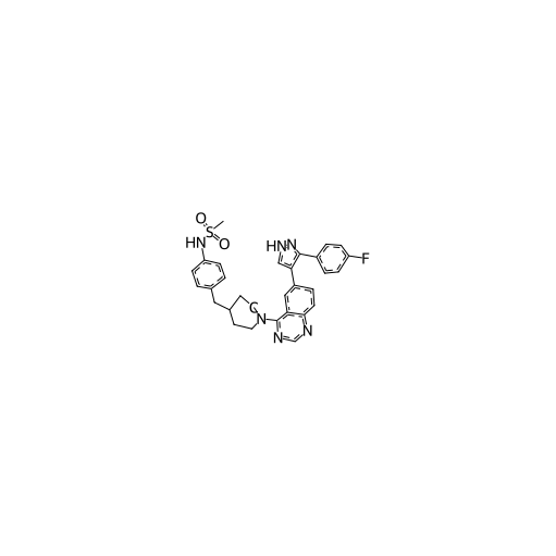 CS(=O)(=O)Nc1ccc(CC2CCN(c3ncnc4ccc(-c5c[nH]nc5-c5ccc(F)cc5)cc34)CC2)cc1